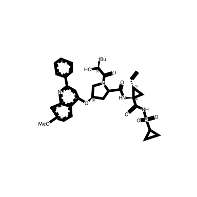 C=C[C@@H]1C[C@]1(NC(=O)C1C[C@@H](Oc2cc(-c3ccccc3)nc3cc(OC)ccc23)CN1C(=O)[C@@H](O)C(C)(C)C)C(=O)NS(=O)(=O)C1CC1